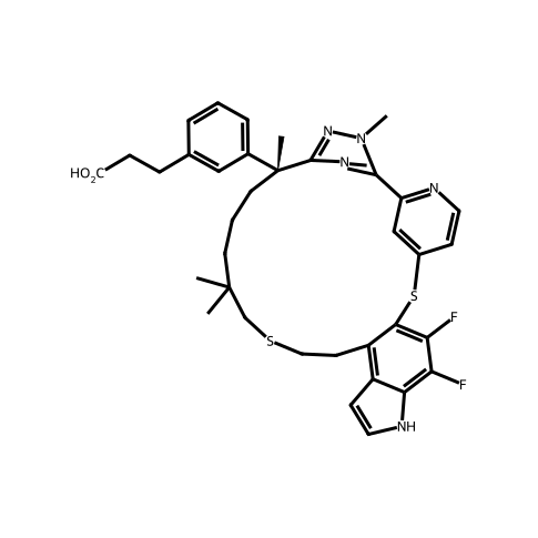 Cn1nc2nc1-c1cc(ccn1)Sc1c(F)c(F)c3[nH]ccc3c1CCSCC(C)(C)CCC[C@]2(C)c1cccc(CCC(=O)O)c1